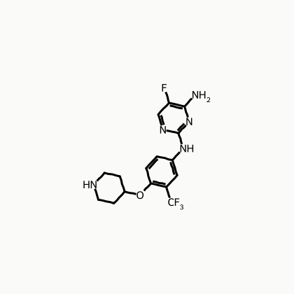 Nc1nc(Nc2ccc(OC3CCNCC3)c(C(F)(F)F)c2)ncc1F